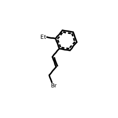 CCc1ccccc1/C=C/CBr